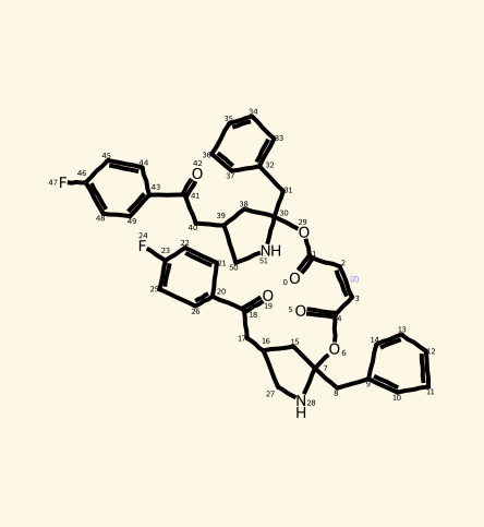 O=C(/C=C\C(=O)OC1(Cc2ccccc2)CC(CC(=O)c2ccc(F)cc2)CN1)OC1(Cc2ccccc2)CC(CC(=O)c2ccc(F)cc2)CN1